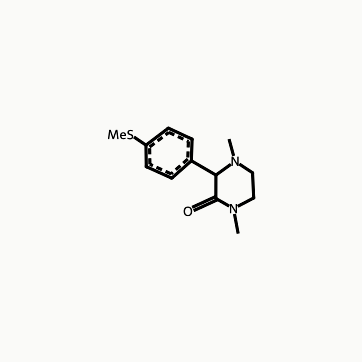 CSc1ccc(C2C(=O)N(C)CCN2C)cc1